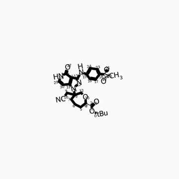 CC(C)(C)OC(=O)[C@@H]1CCCC(CC#N)(n2nc(Nc3ccc(S(C)(=O)=O)cc3)c3c(=O)[nH]ccc32)CO1